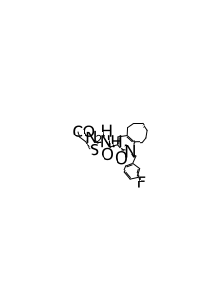 O=C(O)Cc1csc(NC(=O)c2cc3c(n(Cc4cccc(F)c4)c2=O)CCCCCC3)n1